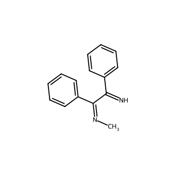 C/N=C(\C(=N)c1ccccc1)c1ccccc1